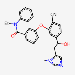 CCN(C(=O)c1cccc(Oc2cc(C(O)Cc3cncn3C)ccc2C#N)c1)c1ccccc1